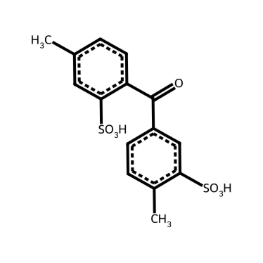 Cc1ccc(C(=O)c2ccc(C)c(S(=O)(=O)O)c2)c(S(=O)(=O)O)c1